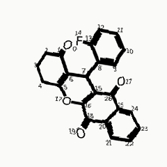 O=C1CCCC2=C1C(c1ccccc1F)C1=C(O2)C(=O)c2ccccc2C1=O